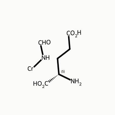 N[C@@H](CCC(=O)O)C(=O)O.O=C[NH][Cr]